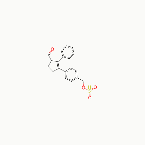 O=CC1CCC(c2ccc(CO[SH](=O)=O)cc2)=C1c1ccccc1